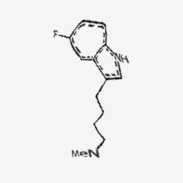 CNCCCCc1c[nH]c2ccc(F)cc12